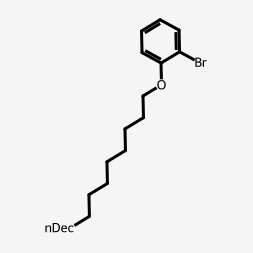 CCCCCCCCCCCCCCCCCCOc1ccccc1Br